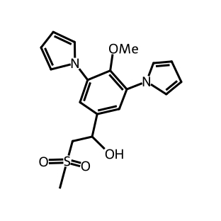 COc1c(-n2cccc2)cc(C(O)CS(C)(=O)=O)cc1-n1cccc1